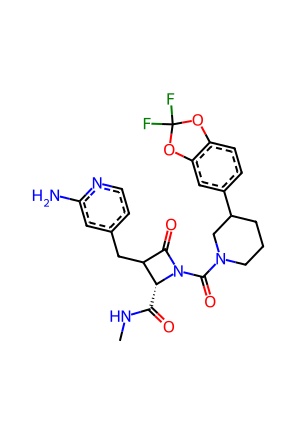 CNC(=O)[C@@H]1C(Cc2ccnc(N)c2)C(=O)N1C(=O)N1CCCC(c2ccc3c(c2)OC(F)(F)O3)C1